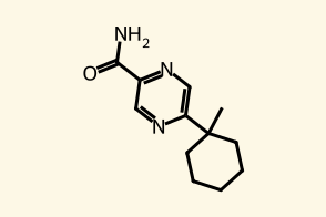 CC1(c2cnc(C(N)=O)cn2)CCCCC1